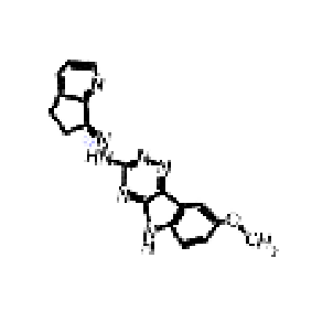 COc1ccc2[nH]c3nc(N/N=C4\CCc5cccnc54)nnc3c2c1